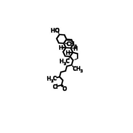 CC(CCC[C@@H](C)[C@H]1CC[C@H]2[C@@H]3CC=C4C[C@@H](O)CC[C@]4(C)[C@H]3CC[C@]12C)CC(=O)Cl